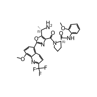 COc1ccccc1NC(=O)[C@@H]1CCCN1C(=O)c1nc(-c2ccc(OC)c3nc(C(F)(F)F)ccc23)oc1[C@H](C)N